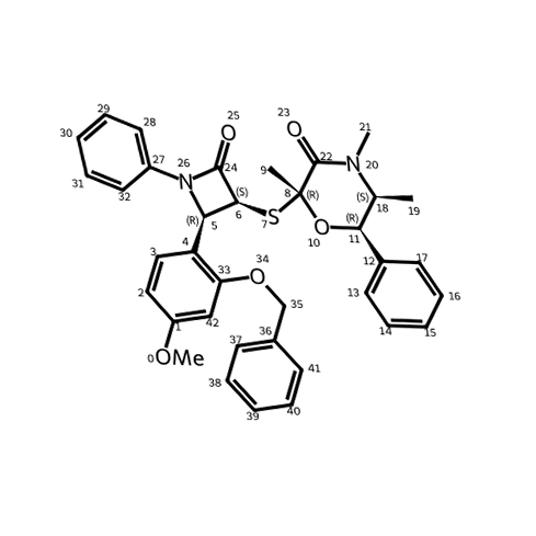 COc1ccc([C@@H]2[C@H](S[C@@]3(C)O[C@H](c4ccccc4)[C@H](C)N(C)C3=O)C(=O)N2c2ccccc2)c(OCc2ccccc2)c1